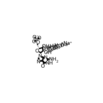 Nc1nc2c(ncn2[C@@H]2O[C@H](COP(=O)([O-])[O-])[C@@H](O)[C@H]2O)c(=O)[nH]1.O.O.O.O.O.O.O.[Na+].[Na+]